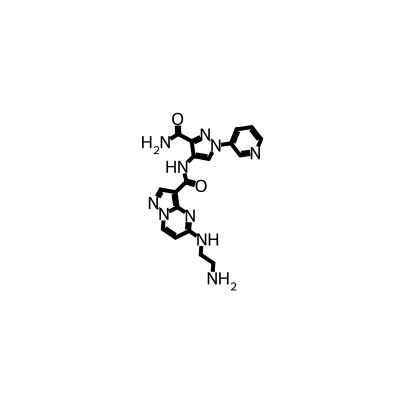 NCCNc1ccn2ncc(C(=O)Nc3cn(-c4cccnc4)nc3C(N)=O)c2n1